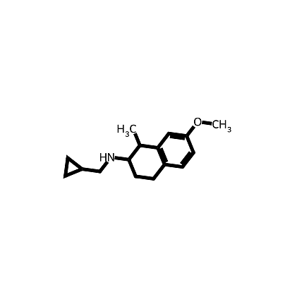 COc1ccc2c(c1)C(C)C(NCC1CC1)CC2